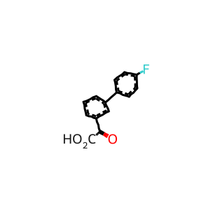 O=C(O)C(=O)c1cccc(-c2ccc(F)cc2)c1